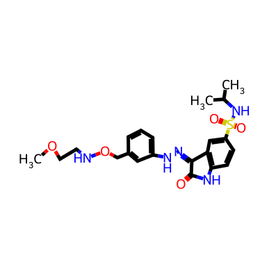 COCCNOCc1cccc(N/N=C2\C(=O)Nc3ccc(S(=O)(=O)NC(C)C)cc32)c1